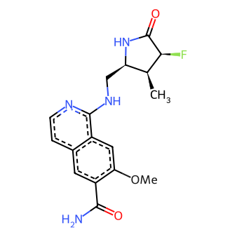 COc1cc2c(NC[C@H]3NC(=O)[C@@H](F)[C@H]3C)nccc2cc1C(N)=O